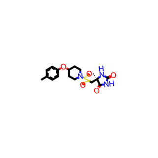 Cc1ccc(OC2CCN(S(=O)(=O)C[C@@]3(C)NC(=O)NC3=O)CC2)cc1